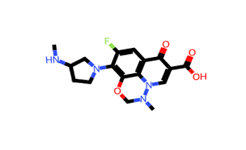 CNC1CCN(c2c(F)cc3c(=O)c(C(=O)O)cn4c3c2OCN4C)C1